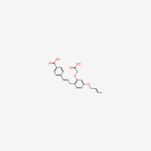 CC=CCOc1ccc(CC=Cc2ccc(C(=O)O)cc2)c(OCC(=O)O)c1